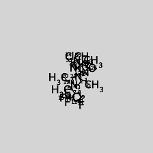 CC[C@H]1CN(C(C)c2ccc(F)cc2C(F)(F)F)[C@H](CC)CN1c1nc(=O)n(C)c2c1nc(CCl)n2C